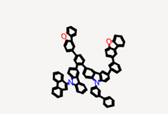 c1ccc(-c2cccc(-n3c4ccc(-c5cccc(-c6ccc7oc8ccccc8c7c6)c5)cc4c4cc(-c5ccc(-c6ccc7oc8ccccc8c7c6)cc5-c5ccc6c(c5)c5ccccc5n6-c5cc6ccccc6c6ccccc56)ccc43)c2)cc1